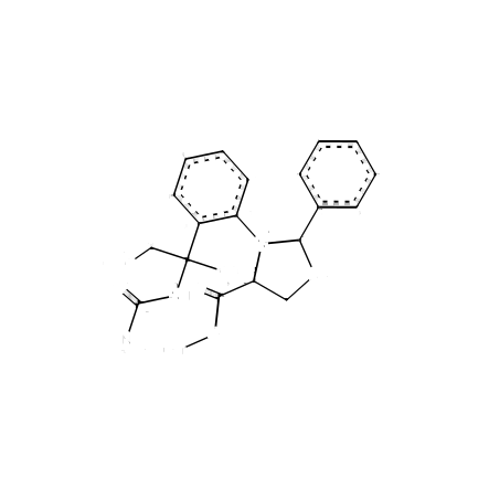 CC(C)(C)OC(=O)C1CSC(c2ccccc2)N1c1ccccc1C(CC=O)(NC(N)=O)C(=O)O